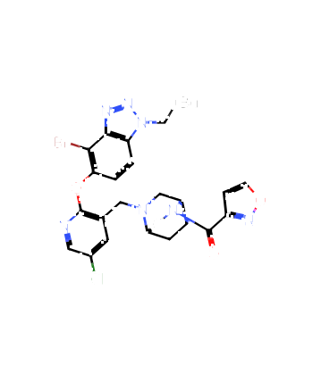 CC(C)(C)Cn1nnc2c(Br)c(Oc3ncc(Cl)cc3CN3CC4CCC3CN4C(=O)c3ccon3)ccc21